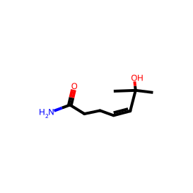 CC(C)(O)/C=C\CCC(N)=O